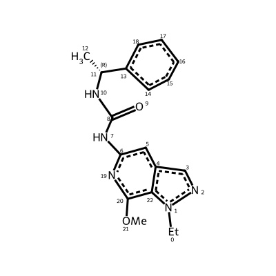 CCn1ncc2cc(NC(=O)N[C@H](C)c3ccccc3)nc(OC)c21